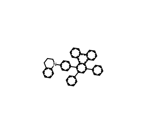 c1ccc(-c2cc(-c3ccccc3)c3c4ccccc4c4ccccc4c3c2-c2ccc(N3CCCc4ccccc43)cc2)cc1